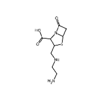 NCCNCC1SC2CC(=O)N2C1C(=O)O